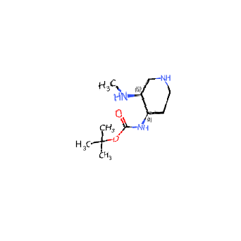 CN[C@H]1CNCC[C@H]1NC(=O)OC(C)(C)C